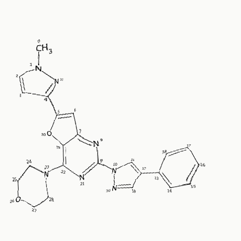 Cn1ccc(-c2cc3nc(-n4cc(-c5ccccc5)cn4)nc(N4CCOCC4)c3o2)n1